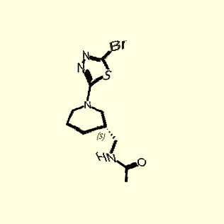 CC(=O)NC[C@@H]1CCCN(c2nnc(Br)s2)C1